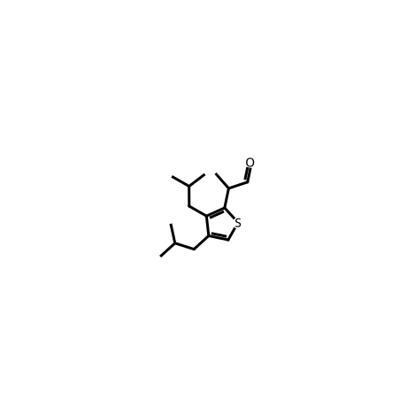 CC(C)Cc1csc(C(C)C=O)c1CC(C)C